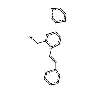 C[C](C)Cc1cc(-c2ccccc2)ccc1C=Cc1ccccc1